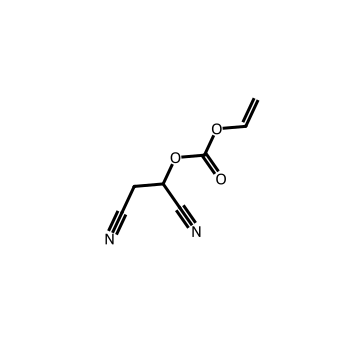 C=COC(=O)OC(C#N)CC#N